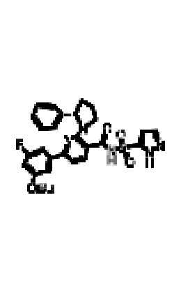 CC(C)COc1cc(F)cc(-c2ccc(C(=O)NS(=O)(=O)c3ccn[nH]3)c(N3CCC[C@H]3c3ccccc3)n2)c1